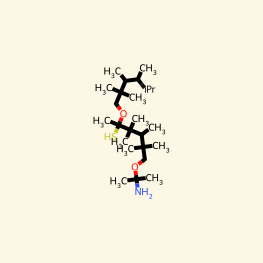 CC(C)C(C)C(C)C(C)(C)COC(C)(S)C(C)(C)C(C)C(C)(C)COC(C)(C)N